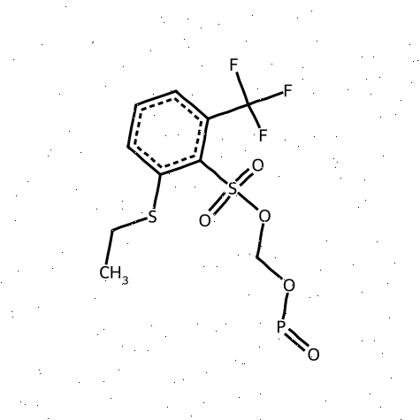 CCSc1cccc(C(F)(F)F)c1S(=O)(=O)OCOP=O